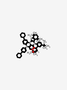 CC(C)(C)c1ccc(N2c3cc(C(C)(C)C)cc4c3B(c3cc(C5CCCCC5)ccc3N4c3ccc(C4CCCCC4)cc3)c3sc4c(c32)C(C)(C)CCC4(C)C)c(-c2ccccc2)c1